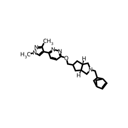 Cc1nn(C)cc1-c1ccc(OCC2C[C@@H]3CN(CC4CC5C=CC4C5)C[C@@H]3C2)nn1